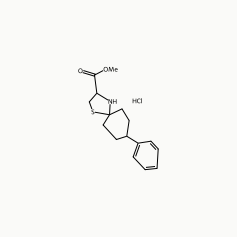 COC(=O)C1CSC2(CCC(c3ccccc3)CC2)N1.Cl